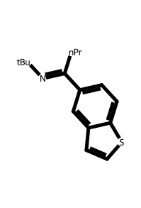 CCCC(=NC(C)(C)C)c1ccc2sccc2c1